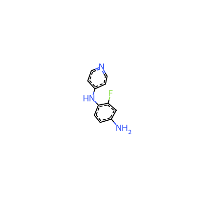 Nc1ccc(Nc2ccncc2)c(F)c1